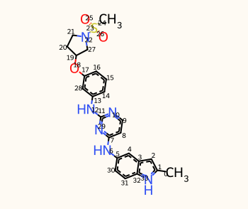 Cc1cc2cc(Nc3ccnc(Nc4cccc(OC5CCN(S(C)(=O)=O)C5)c4)n3)ccc2[nH]1